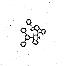 c1ccc(-c2cc(-c3ccccc3)cc(-c3nc(-n4c5ccccc5c5ccc6c(ccn6-c6ccccc6)c54)nc4ccccc34)c2)cc1